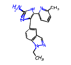 CCn1ncc2cc(-c3nc(N)[nH]c3-c3cccc(C)n3)ccc21